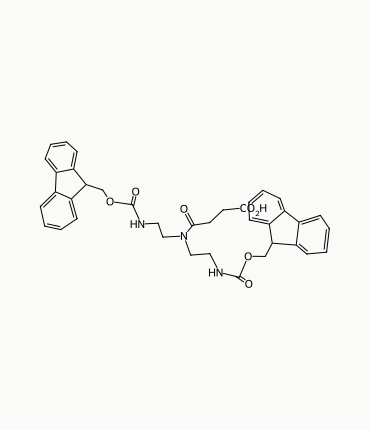 O=C(O)CCC(=O)N(CCNC(=O)OCC1c2ccccc2-c2ccccc21)CCNC(=O)OCC1c2ccccc2-c2ccccc21